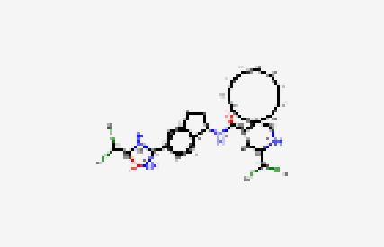 O=C(N[C@@H]1CCc2cc(C3NOC(C(F)F)N3)ccc21)C1CC(C(F)F)NCC12CCCCCCCCCC2